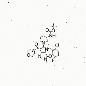 Cn1cnc2c(C(=O)N3CCOCC3)c(N3CCC[C@@H](NC(=O)OC(C)(C)C)C3)n(Cc3cc(F)ccc3Cl)c2c1=O